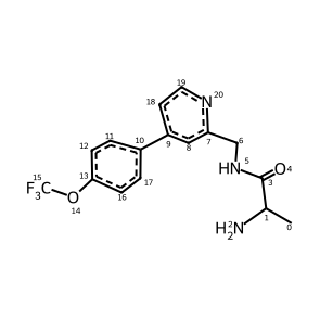 CC(N)C(=O)NCc1cc(-c2ccc(OC(F)(F)F)cc2)ccn1